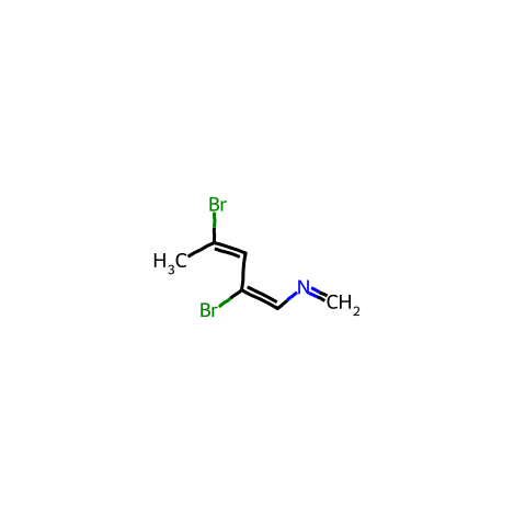 C=N/C=C(Br)\C=C(/C)Br